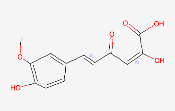 COc1cc(/C=C/C(=O)/C=C(/O)C(=O)O)ccc1O